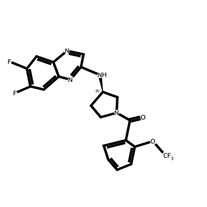 O=C(c1ccccc1OC(F)(F)F)N1CC[C@@H](Nc2cnc3cc(F)c(F)cc3n2)C1